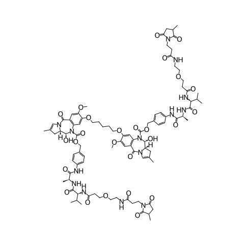 COc1cc2c(cc1OCCCCCOc1cc3c(cc1OC)C(=O)N1C=C(C)C[C@H]1[C@H](O)N3C(=O)OCc1ccc(NC(=O)[C@H](C)NC(=O)[C@@H](NC(=O)CCOCCNC(=O)CCN3C(=O)CC(C)C3=O)C(C)C)cc1)N(C(=O)OCc1ccc(NC(=O)[C@H](C)NC(=O)[C@@H](NC(=O)CCOCCNC(=O)CCN3C(=O)CC(C)C3=O)C(C)C)cc1)[C@@H](O)[C@@H]1CC(C)=CN1C2=O